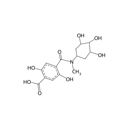 CN(C(=O)c1cc(O)c(C(=O)O)cc1O)C1CC(O)C(O)C(O)C1